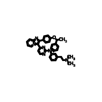 CC(Oc1ccc(-c2nc3ccccn3c2-c2ccnc(Nc3cccc(CCN(C)C)c3)n2)cc1)c1ccccc1